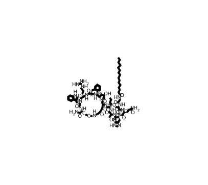 CCCCCCCCCCCCCCCC(=O)NCC(=O)NC(CO)C(=O)N[C@@H](CCC(N)=O)C(=O)N[C@@H](Cc1c[nH]cn1)C(=O)NC(CO)C(=O)N[C@@H](CCCC)C(=O)N[C@H]1CCC(=O)CNCCCC[C@@H](C(N)=O)NC(=O)[C@H](Cc2c[nH]c3ccccc23)NC(=O)[C@H](CCCNC(=N)N)NC(=O)[C@@H](Cc2ccccc2)NC(=O)[C@@H]2C[C@@H](O)CN2C1=O